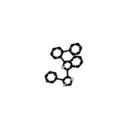 c1ccc(-c2ccccc2-c2oc(-c3ocnc3-c3ccccc3)c3ccccc23)cc1